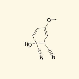 COC1=CC(C#N)C(O)(C#N)C=C1